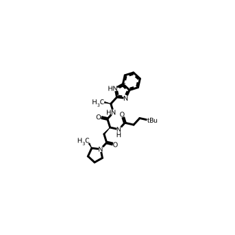 C[C@H](NC(=O)[C@H](CC(=O)N1CCC[C@H]1C)NC(=O)CCC(C)(C)C)c1nc2ccccc2[nH]1